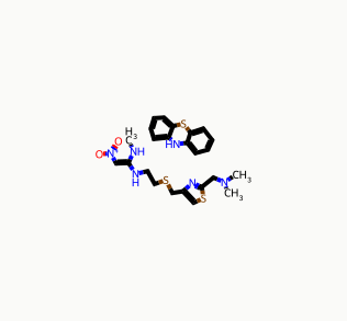 CN/C(=C\[N+](=O)[O-])NCCSCc1csc(CN(C)C)n1.c1ccc2c(c1)Nc1ccccc1S2